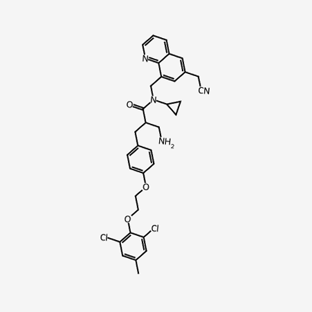 Cc1cc(Cl)c(OCCOc2ccc(CC(CN)C(=O)N(Cc3cc(CC#N)cc4cccnc34)C3CC3)cc2)c(Cl)c1